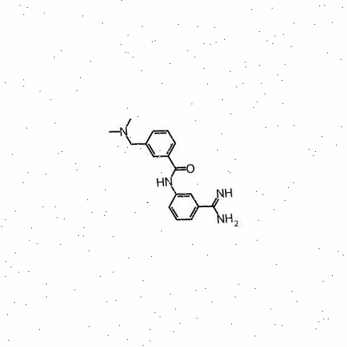 CN(C)Cc1cccc(C(=O)Nc2cccc(C(=N)N)c2)c1